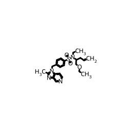 C=CCC(COCC)N(CC)S(=O)(=O)c1ccc(Cn2c(C)nc3cnccc32)cc1